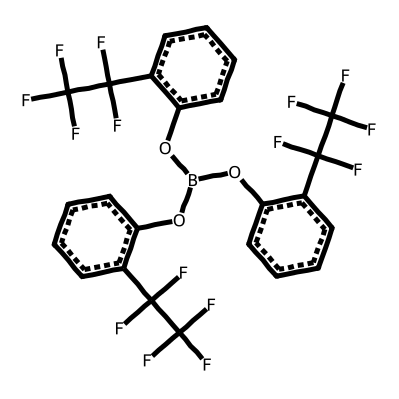 FC(F)(F)C(F)(F)c1ccccc1OB(Oc1ccccc1C(F)(F)C(F)(F)F)Oc1ccccc1C(F)(F)C(F)(F)F